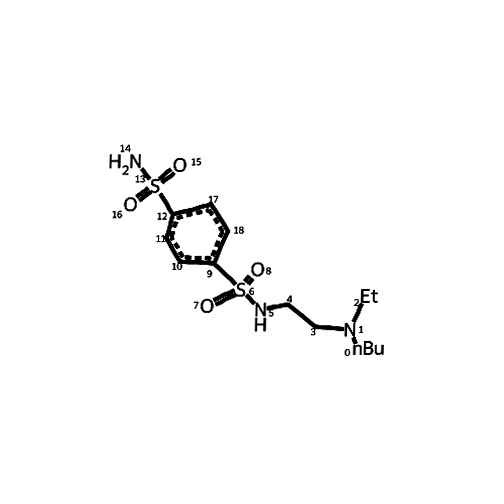 CCCCN(CC)CCNS(=O)(=O)c1ccc(S(N)(=O)=O)cc1